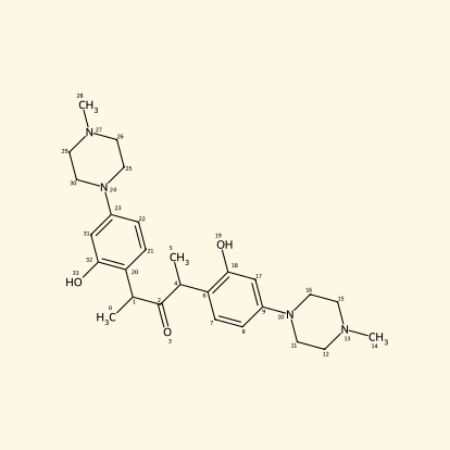 CC(C(=O)C(C)c1ccc(N2CCN(C)CC2)cc1O)c1ccc(N2CCN(C)CC2)cc1O